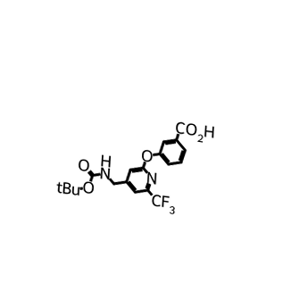 CC(C)(C)OC(=O)NCc1cc(Oc2cccc(C(=O)O)c2)nc(C(F)(F)F)c1